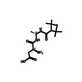 C[C@H](NC(=O)C1C(C)(C)SC1(C)C)NC(=O)[C@@H](N)CC(=O)O